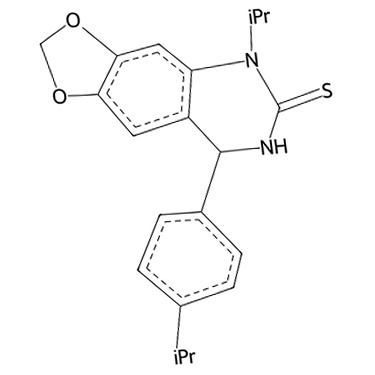 CC(C)c1ccc(C2NC(=S)N(C(C)C)c3cc4c(cc32)OCO4)cc1